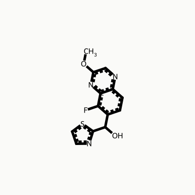 COc1cnc2ccc(C(O)c3nccs3)c(F)c2n1